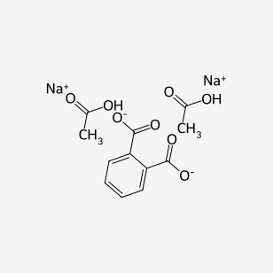 CC(=O)O.CC(=O)O.O=C([O-])c1ccccc1C(=O)[O-].[Na+].[Na+]